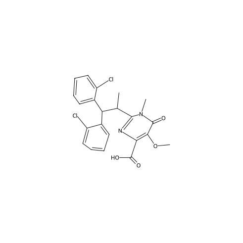 COc1c(C(=O)O)nc(C(C)C(c2ccccc2Cl)c2ccccc2Cl)n(C)c1=O